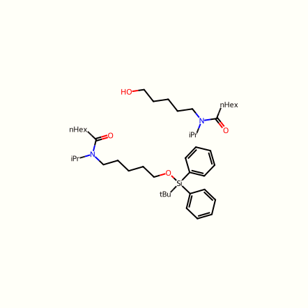 CCCCCCC(=O)N(CCCCCO)C(C)C.CCCCCCC(=O)N(CCCCCO[Si](c1ccccc1)(c1ccccc1)C(C)(C)C)C(C)C